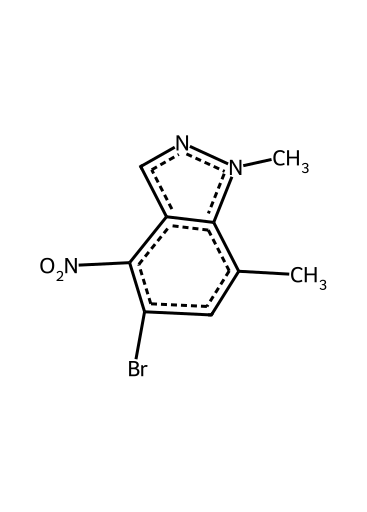 Cc1cc(Br)c([N+](=O)[O-])c2cnn(C)c12